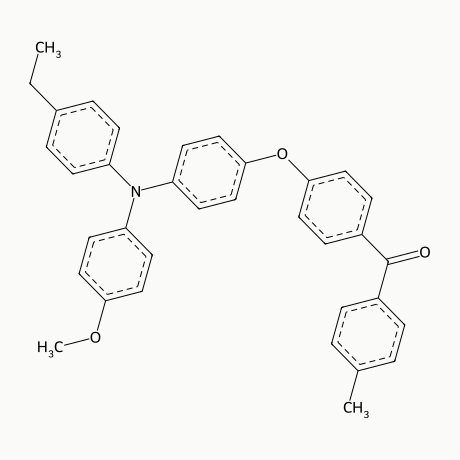 CCc1ccc(N(c2ccc(OC)cc2)c2ccc(Oc3ccc(C(=O)c4ccc(C)cc4)cc3)cc2)cc1